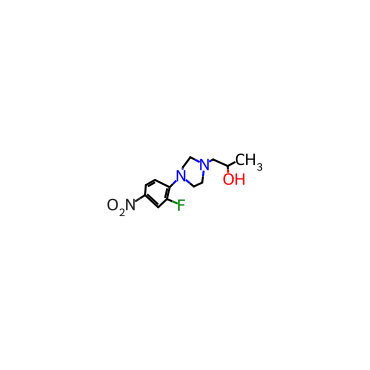 CC(O)CN1CCN(c2ccc([N+](=O)[O-])cc2F)CC1